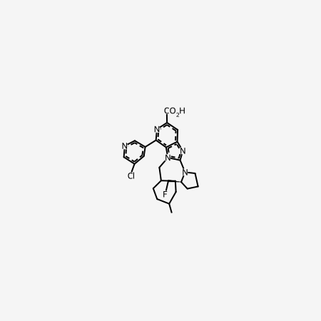 CC1CCC(Cn2c(N3CCC[C@H]3CF)nc3cc(C(=O)O)nc(-c4cncc(Cl)c4)c32)CC1